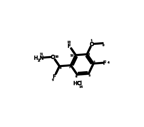 COc1c(F)ccc(C(F)ON)c1F.Cl